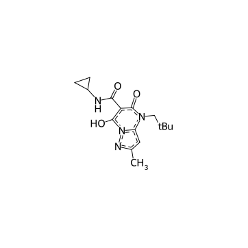 Cc1cc2n(CC(C)(C)C)c(=O)c(C(=O)NC3CC3)c(O)n2n1